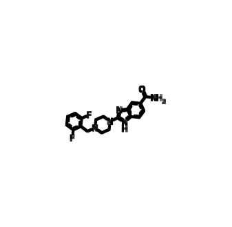 NC(=O)c1ccc2[nH]c(N3CCN(Cc4c(F)cccc4F)CC3)nc2c1